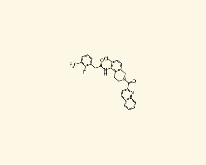 O=C(Cc1cccc(C(F)(F)F)c1F)Nc1c(Cl)ccc2c1CCN(C(=O)c1ccc3ccccc3n1)C2